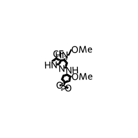 COCCNc1cc(Nc2ccc(S(C)(=O)=O)cc2OC)nc2[nH]cc(C(F)(F)F)c12